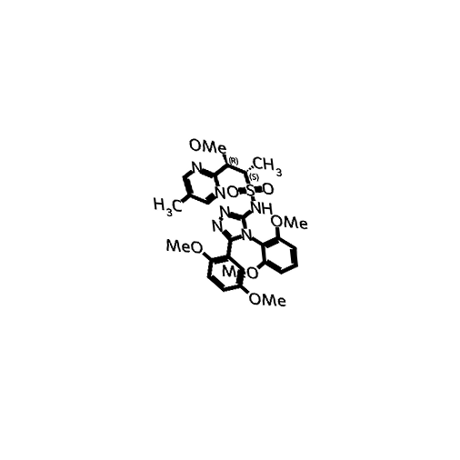 COc1ccc(OC)c(-c2nnc(NS(=O)(=O)[C@@H](C)[C@H](OC)c3ncc(C)cn3)n2-c2c(OC)cccc2OC)c1